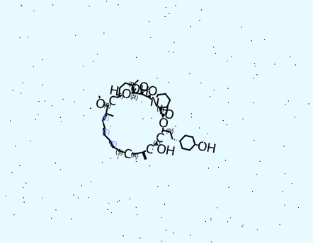 C=C1C[C@H](O)CC([C@H](C)C[C@H]2CC[C@H](O)CC2)OC(=O)[C@@H]2CCCCN2C(=O)C(=O)[C@]2(O)O[C@@H](CC[C@H]2C)C[C@H](OC)/C(C)=C/C=C/C=C/[C@@H](C)C[C@H]1C